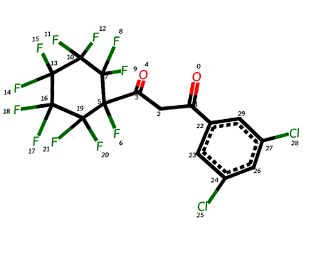 O=C(CC(=O)C1(F)C(F)(F)C(F)(F)C(F)(F)C(F)(F)C1(F)F)c1cc(Cl)cc(Cl)c1